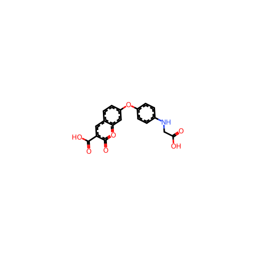 O=C(O)CNc1ccc(Oc2ccc3cc(C(=O)O)c(=O)oc3c2)cc1